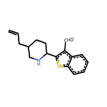 C=CCC1CCC(c2sc3ccccc3c2C=O)NC1